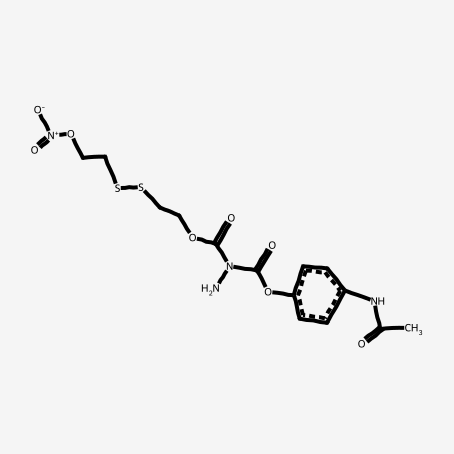 CC(=O)Nc1ccc(OC(=O)N(N)C(=O)OCCSSCCO[N+](=O)[O-])cc1